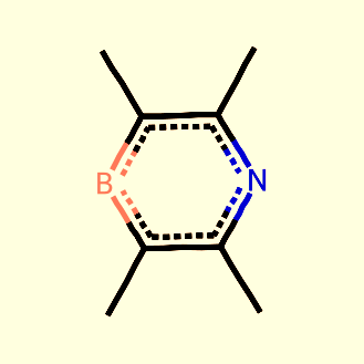 Cc1bc(C)c(C)nc1C